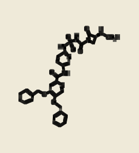 O=C(O)N[C@H]1CN(C(=O)NS(=O)(=O)Nc2ccc(NC(=O)c3cc(OCc4ccccc4)c(OCc4ccccc4)cn3)cn2)C1=O